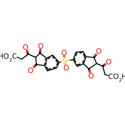 O=C(O)CC(=O)C1C(=O)c2ccc(S(=O)(=O)c3ccc4c(c3)C(=O)C(C(=O)CC(=O)O)C4=O)cc2C1=O